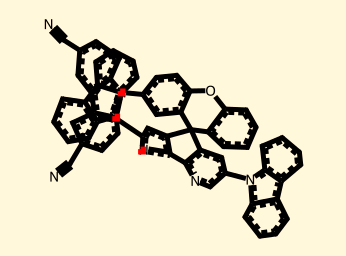 N#Cc1ccc2c(c1)c1cc(C#N)ccc1n2-c1ccc2c(c1)C1(c3ccccc3O2)c2cc(-n3c4ccccc4c4ccccc43)cnc2-c2ncc(-n3c4ccccc4c4ccccc43)cc21